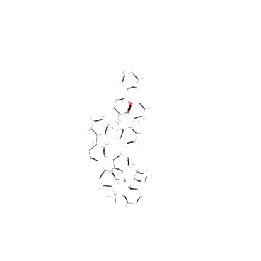 CC1(C)c2ccccc2C2(c3ccccc3-c3ccc(-c4cccc5c4sc4c(N(c6ccc(-c7ccccc7)cc6)c6ccccc6-c6ccccc6)cccc45)cc32)c2ccccc21